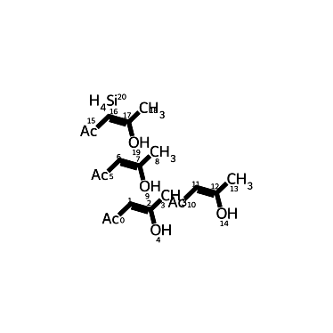 CC(=O)/C=C(/C)O.CC(=O)/C=C(/C)O.CC(=O)/C=C(/C)O.CC(=O)/C=C(/C)O.[SiH4]